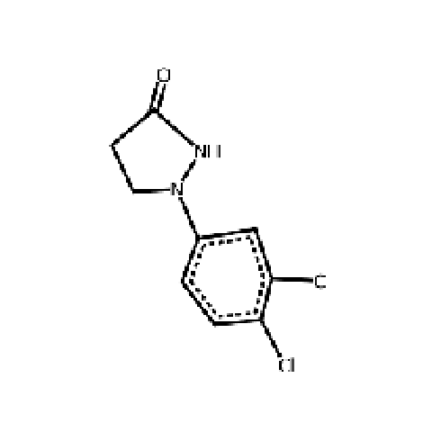 O=C1CCN(c2ccc(Cl)c(Cl)c2)N1